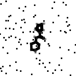 O=C(OC1CCOCC1)n1ccnc1